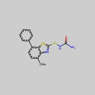 COc1ccc(-c2ccccc2)c2sc(SNC(N)=O)nc12